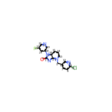 O=c1nc2n(Cc3ccc(Cl)nc3)cccc-2n1-c1cncc(F)c1